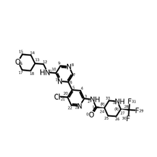 O=C(Nc1cc(-c2cncc(NCC3CCOCC3)n2)c(Cl)cn1)[C@@H]1CC[C@H](C(F)(F)F)NC1